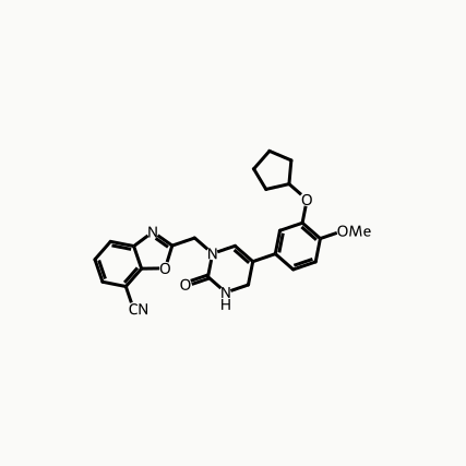 COc1ccc(C2=CN(Cc3nc4cccc(C#N)c4o3)C(=O)NC2)cc1OC1CCCC1